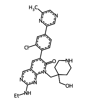 CCNc1ncc2cc(-c3ccc(-c4cncc(C)n4)cc3Cl)c(=O)n(CC3(CO)CCNCC3)c2n1